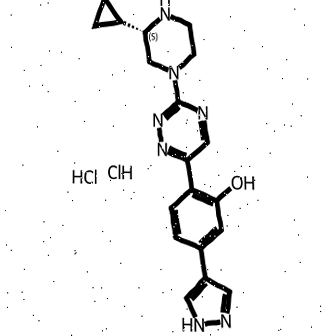 Cl.Cl.Oc1cc(-c2cn[nH]c2)ccc1-c1cnc(N2CCN[C@@H](C3CC3)C2)nn1